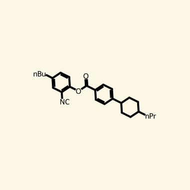 [C-]#[N+]c1cc(CCCC)ccc1OC(=O)c1ccc(C2CCC(CCC)CC2)cc1